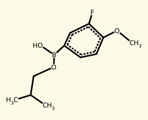 COc1ccc(B(O)OCC(C)C)cc1F